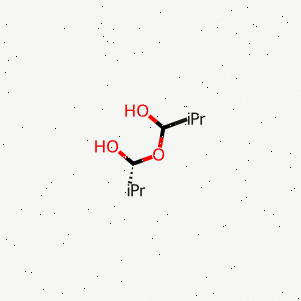 CC(C)C(O)O[C@@H](O)C(C)C